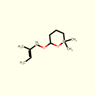 CC=C(C)[SiH2]OC1CCC[Si](C)(C)O1